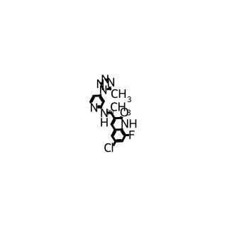 Cc1nnnn1-c1ccnc(N[C@@H](C)c2cc3cc(Cl)cc(F)c3[nH]c2=O)c1